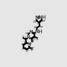 CC1=C(C)N(C(C)c2cccc(F)n2)CN=C1NCCc1cn[nH]c1